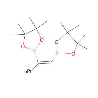 CCC/C(=C/B1OC(C)(C)C(C)(C)O1)B1OC(C)(C)C(C)(C)O1